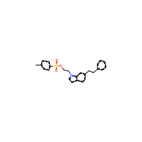 Cc1ccc(S(=O)(=O)OCCn2ccc3ccc(CCc4ccccc4)cc32)cc1